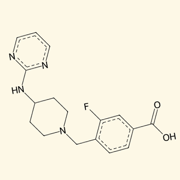 O=C(O)c1ccc(CN2CCC(Nc3ncccn3)CC2)c(F)c1